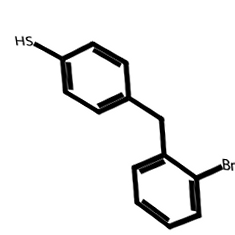 Sc1ccc(Cc2ccccc2Br)cc1